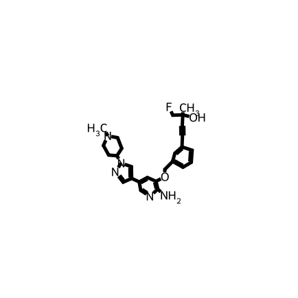 CN1CCC(n2cc(-c3cnc(N)c(OCc4cccc(C#CC(C)(O)CF)c4)c3)cn2)CC1